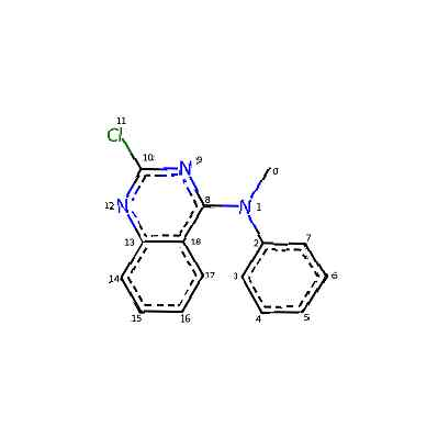 CN(c1ccccc1)c1nc(Cl)nc2ccccc12